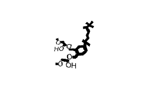 COCC(O)OCC1=C(COC(O)COC)CC(C(C)(C)CC/C=C(\C)C(C)(C)C)=CC1